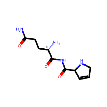 NC(=O)CC[C@H](N)C(=O)NC(=O)C1C=CCN1